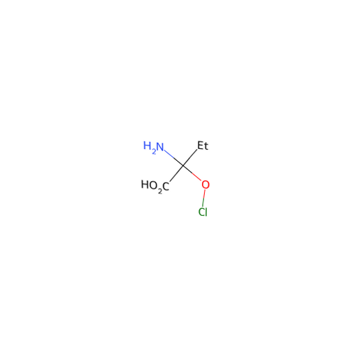 CCC(N)(OCl)C(=O)O